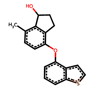 Cc1ccc(Oc2cccc3sccc23)c2c1C(O)CC2